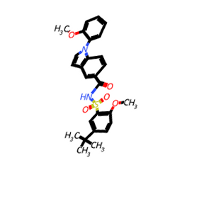 COc1ccccc1-n1ccc2cc(C(=O)NS(=O)(=O)c3cc(C(C)(C)C)ccc3OC)ccc21